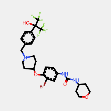 O=C(Nc1ccc(OC2CCN(Cc3ccc(C(O)(C(F)(F)F)C(F)(F)F)cc3)CC2)c(Br)c1)NC1CCOCC1